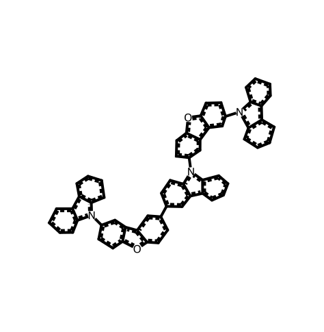 c1ccc2c(c1)c1ccccc1n2-c1ccc2oc3ccc(-c4ccc5c(c4)c4ccccc4n5-c4ccc5oc6ccc(-n7c8ccccc8c8ccccc87)cc6c5c4)cc3c2c1